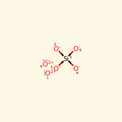 [O+2].[O+2].[O-][Si]([O-])([O-])[O-]